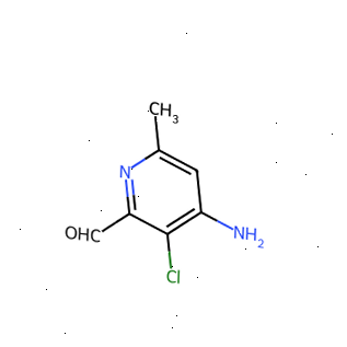 Cc1cc(N)c(Cl)c(C=O)n1